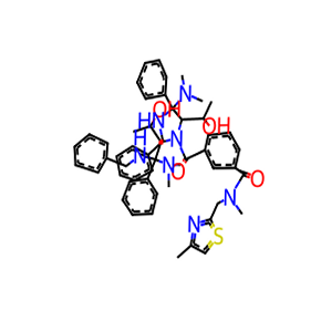 Cc1csc(CN(C)C(=O)c2cccc(C(=O)N(C(C(C)O)C(NCc3ccccc3)(c3ccccc3)N(C)C)C(C(C)O)C(NCc3ccccc3)(c3ccccc3)N(C)C)c2)n1